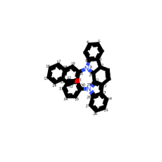 C1=CC2c3ccccc3N(c3ccc4ccccc4c3)C2c2c1c1ccccc1n2-c1ccccc1